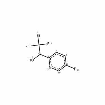 CCC(F)(F)C(O)c1ccc(F)cn1